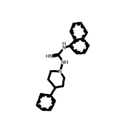 N=C(Nc1cccc2ccccc12)NN1CCC(c2ccccc2)CC1